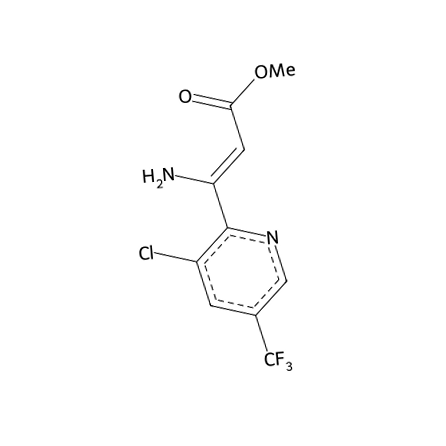 COC(=O)/C=C(\N)c1ncc(C(F)(F)F)cc1Cl